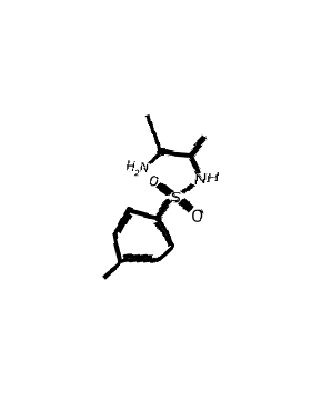 Cc1ccc(S(=O)(=O)NC(C)C(C)N)cc1